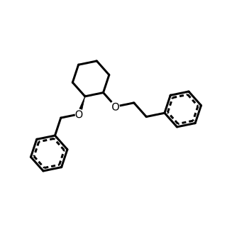 c1ccc(CCOC2CCCC[C@@H]2OCc2ccccc2)cc1